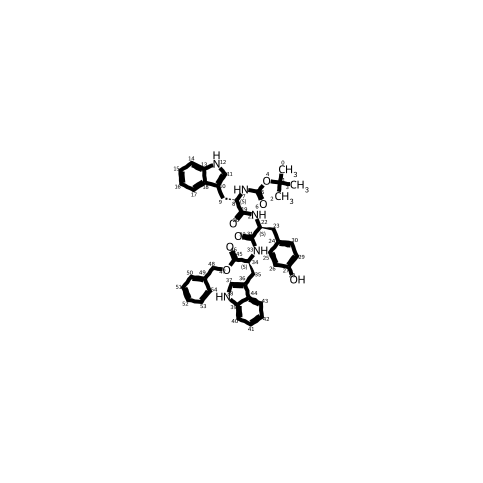 CC(C)(C)OC(=O)N[C@@H](Cc1c[nH]c2ccccc12)C(=O)N[C@@H](Cc1ccc(O)cc1)C(=O)N[C@@H](Cc1c[nH]c2ccccc12)C(=O)OCc1ccccc1